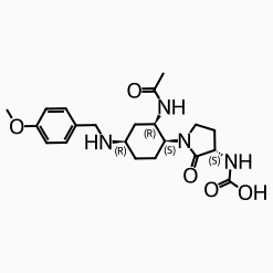 COc1ccc(CN[C@@H]2CC[C@H](N3CC[C@H](NC(=O)O)C3=O)[C@H](NC(C)=O)C2)cc1